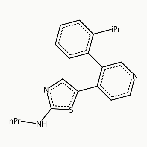 CCCNc1ncc(-c2ccncc2-c2ccccc2C(C)C)s1